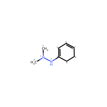 CN(C)NC1=CC=CCC1